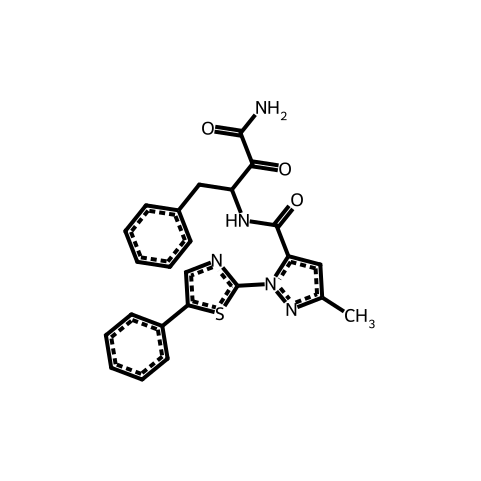 Cc1cc(C(=O)NC(Cc2ccccc2)C(=O)C(N)=O)n(-c2ncc(-c3ccccc3)s2)n1